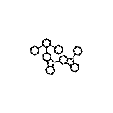 c1ccc(-c2cccc(-c3ccccc3)c2-c2ccc3c4ccccc4n(-c4ccc5c(c4)c4ccccc4n5-c4ccccc4)c3c2)cc1